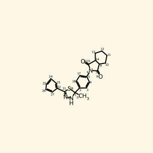 CC1(c2ccc(N3C(=O)C4CCCCC4C3=O)cc2)NN=C(c2ccccc2)S1